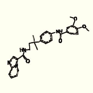 COc1ccc(C(=O)Nc2ccc(C(C)(C)CCNC(=O)c3cnc4ccccn34)cc2)cc1OC